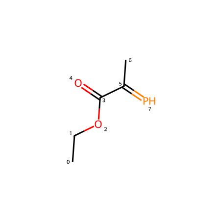 CCOC(=O)C(C)=P